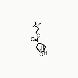 C[Si](C)(C)CCOC(=O)[C@H]1CC[C@H]2O[C@H]2C1